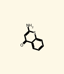 Nc1cc(=O)c2ccccc2s1